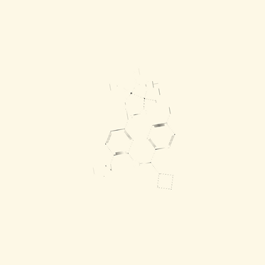 CC1(C)OB(c2ccc(N)c(OC(c3ccc(F)cc3)C3CCC3)c2)OC1(C)C